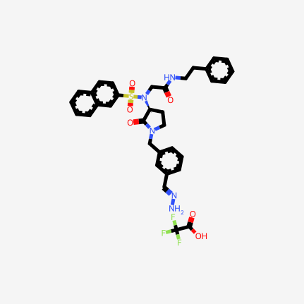 NN=Cc1cccc(CN2CC[C@H](N(CC(=O)NCCc3ccccc3)S(=O)(=O)c3ccc4ccccc4c3)C2=O)c1.O=C(O)C(F)(F)F